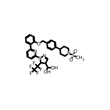 CS(=O)(=O)N1CCC(c2ccc(COc3ccccc3-c3cccc(N4N=CC(C(O)O)C4C(F)(F)C(F)(F)F)n3)cc2)CC1